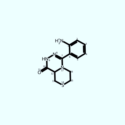 Nc1ccccc1C1=NNC(=O)C2CSCCN12